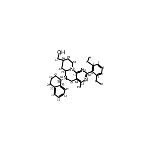 CCc1cccc(CC)c1-c1nc(C)c2c(n1)N1CCC(CO)CC1N([C@H]1CCCc3ccccc31)C2